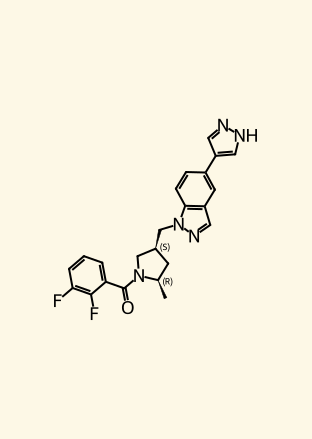 C[C@@H]1C[C@H](Cn2ncc3cc(-c4cn[nH]c4)ccc32)CN1C(=O)c1cccc(F)c1F